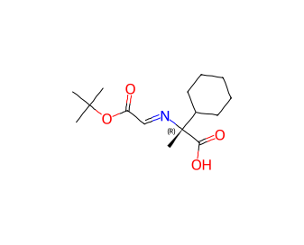 CC(C)(C)OC(=O)C=N[C@@](C)(C(=O)O)C1CCCCC1